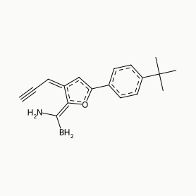 B/C(N)=c1\oc(-c2ccc(C(C)(C)C)cc2)c\c1=C\C#C